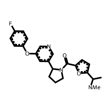 CNC(C)c1ccc(C(=O)N2CCCC2c2cncc(Oc3ccc(F)cc3)c2)o1